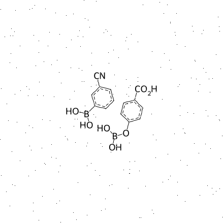 N#Cc1cccc(B(O)O)c1.O=C(O)c1ccc(OB(O)O)cc1